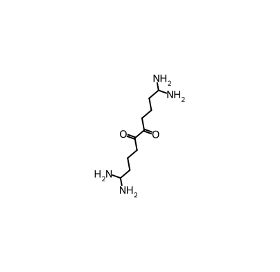 NC(N)CCCC(=O)C(=O)CCCC(N)N